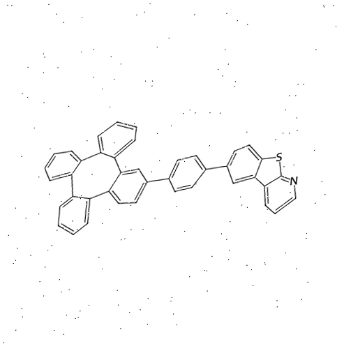 c1ccc2c(c1)-c1ccccc1-c1ccc(-c3ccc(-c4ccc5sc6ncccc6c5c4)cc3)cc1-c1ccccc1-2